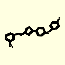 Fc1ccc(Oc2ccc(-c3nc(CNc4ccnc(C(F)(F)F)c4)cs3)cc2)cc1